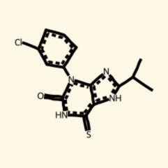 CC(C)c1nc2c([nH]1)c(=S)[nH]c(=O)n2-c1cccc(Cl)c1